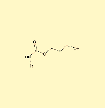 [CH2]CNC(=O)OCCCO